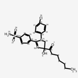 CCCCCCC(=O)C1(O)CN(c2ccc(Cl)cc2)C(c2ccc(S(N)(=O)=O)cc2)=N1